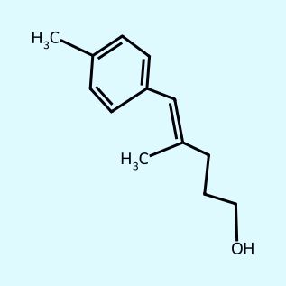 C/C(=C\c1ccc(C)cc1)CCCO